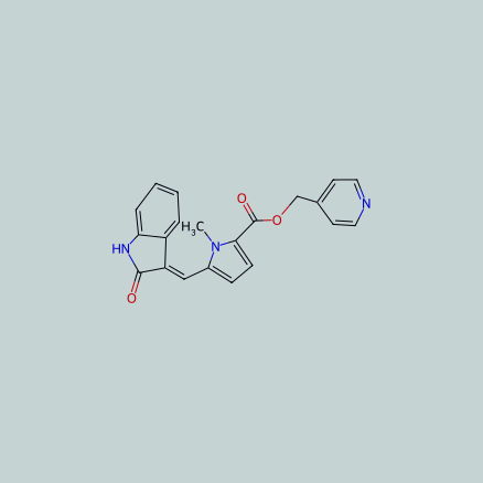 Cn1c(C=C2C(=O)Nc3ccccc32)ccc1C(=O)OCc1ccncc1